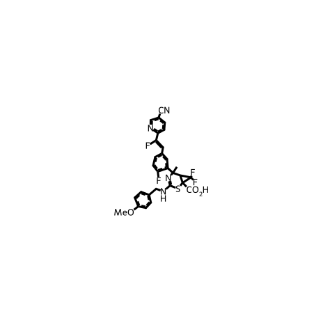 COc1ccc(CNC2=NC(C)(c3cc(/C=C(\F)c4ccc(C#N)cn4)ccc3F)C3C(F)(F)C3(C(=O)O)S2)cc1